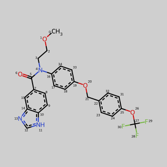 COCCN(C(=O)c1ccc2[nH]cnc2c1)c1ccc(OCc2ccc(OC(F)(F)F)cc2)cc1